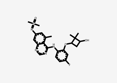 Cc1cc(N=S(C)(C)=O)cc2ncnc(Nc3ccc(F)cc3OC3CC(O)C3(C)C)c12